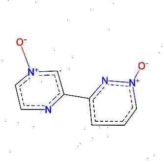 [O-][n+]1[c]c(-c2ccc[n+]([O-])n2)ncc1